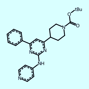 CC(C)(C)OC(=O)N1CCC(c2cc(-c3ccccc3)nc(Nc3ccncc3)n2)CC1